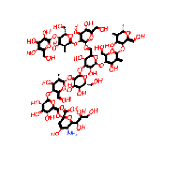 CC1C(O)[C@H](O[C@@H]2OC(CO[C@H]3OC(CO)[C@@H](O)C(O)[C@H]3O[C@@H]3O[C@@H](CO)[C@@H](O[C@@H]4OC(CO)[C@H](O)C(O)[C@@H]4O)C(O)C3C)[C@@H](O)C(O[C@H]3O[C@H](CO)[C@@H](O)C(O)C3O[C@@H]3OC(CO)[C@@H](O[C@@H]4OC(CO[C@]5(C(=O)O)C[C@@H](O)[C@@H](N)C([C@H](O)C(O)CO)O5)[C@H](O)C(O)[C@@H]4O)C(O)[C@@H]3C)[C@H]2O)C(CO)O[C@H]1O[C@@H]1C(CO)O[C@@H](C)C(C)C1O